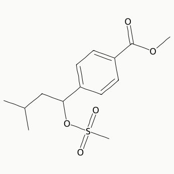 COC(=O)c1ccc(C(CC(C)C)OS(C)(=O)=O)cc1